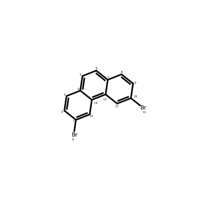 Brc1ccc2ccc3ccc(Br)cc3c2c1